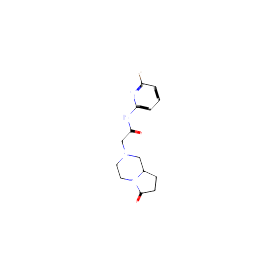 O=C(CN1CCN2C(=O)CCC2C1)Nc1cccc(Br)n1